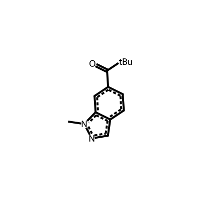 Cn1ncc2ccc(C(=O)C(C)(C)C)cc21